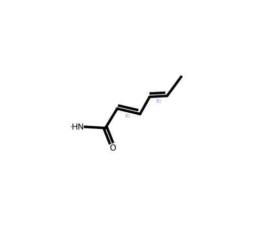 C/C=C/C=C/C([NH])=O